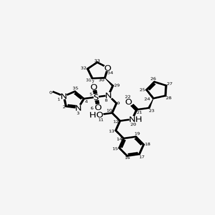 Cn1cnc(S(=O)(=O)N(CC(O)C(Cc2ccccc2)NC(=O)C[C@H]2C=CCC2)C[C@H]2CCCO2)c1